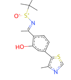 C/C(=N\[S@+]([O-])C(C)(C)C)c1ccc(-c2scnc2C)cc1O